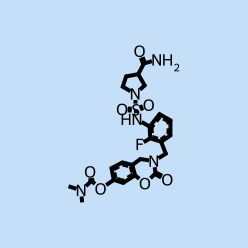 CN(C)C(=O)Oc1ccc2c(c1)OC(=O)N(Cc1cccc(NS(=O)(=O)N3CCC(C(N)=O)C3)c1F)C2